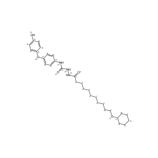 O=C(CCCCCCCCCCOC1CCCCC1)NNC(=O)Nc1ccc(Oc2ccc(O)cc2)cc1